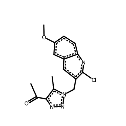 COc1ccc2nc(Cl)c(Cn3nnc(C(C)=O)c3C)cc2c1